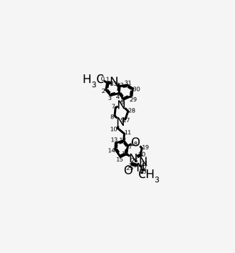 Cc1ccc2c(N3CCN(CCc4cccc5c4OCc4nn(C)c(=O)n4-5)CC3)cccc2n1